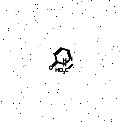 CC(=O)O.O=c1cccn[nH]1